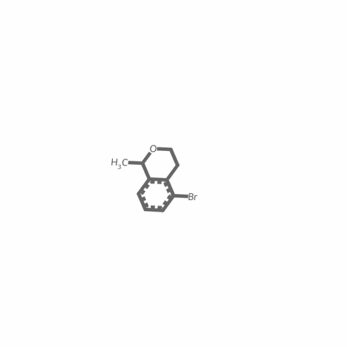 CC1OCCc2c(Br)cccc21